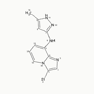 CCc1cnc2c(Nc3cc(C)[nH]n3)cccn12